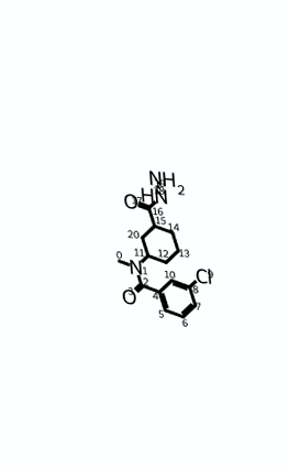 CN(C(=O)c1cccc(Cl)c1)C1CCCC(C(=O)NN)C1